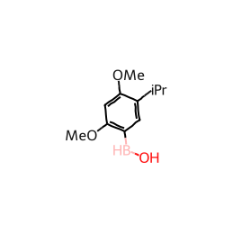 COc1cc(OC)c(C(C)C)cc1BO